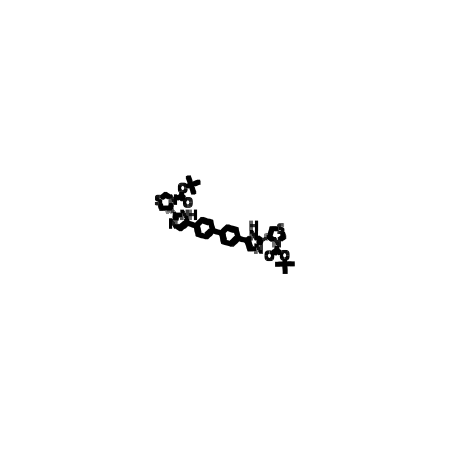 CC(C)(C)OC(=O)N1CSC[C@H]1c1ncc(-c2ccc(-c3ccc(-c4cnc([C@@H]5CSCN5C(=O)OC(C)(C)C)[nH]4)cc3)cc2)[nH]1